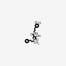 CC(CCc1ccccc1)N1CC(C(=O)NCCCc2ccc(Cl)c(Cl)c2)=C(O)C1=O